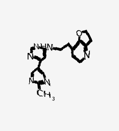 Cc1ncc(-c2cc(NCCc3ccnc4c3OCC4)ncn2)cn1